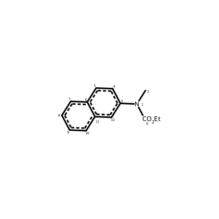 CCOC(=O)N(C)c1ccc2ccccc2c1